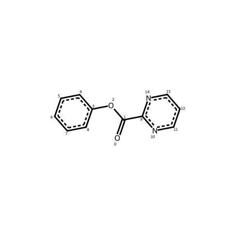 O=C(Oc1ccccc1)c1ncccn1